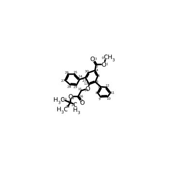 COC(=O)c1cc(-c2ccccc2)c(OCC(=O)OC(C)(C)C)c(-c2ccccc2)c1